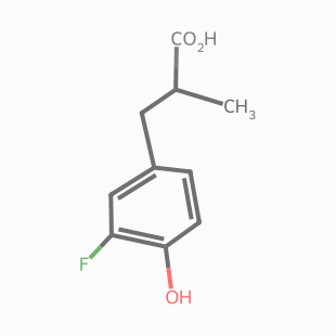 CC(Cc1ccc(O)c(F)c1)C(=O)O